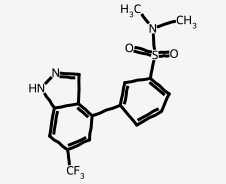 CN(C)S(=O)(=O)c1cccc(-c2cc(C(F)(F)F)cc3[nH]ncc23)c1